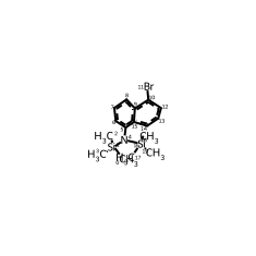 C[Si](C)(C)N(c1cccc2c(Br)cccc12)[Si](C)(C)C